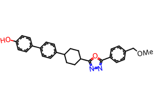 COCc1ccc(-c2nnc(C3CCC(c4ccc(-c5ccc(O)cc5)cc4)CC3)o2)cc1